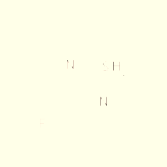 CN1[SiH2]N(C)C1F